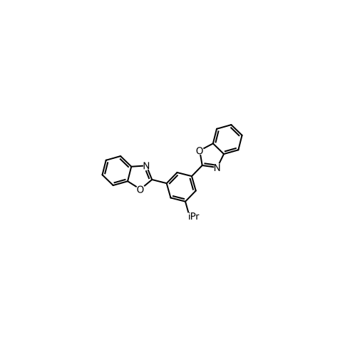 CC(C)c1cc(-c2nc3ccccc3o2)cc(-c2nc3ccccc3o2)c1